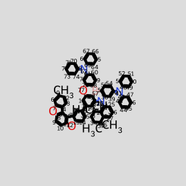 Cc1ccc2c(c1)oc1ccc3oc4ccc(-c5cc6c7c(c5)N(c5cccc8c5C(C)(C)CCC8(C)C)c5cc(N(c8ccccc8)c8ccccc8)ccc5B7c5ccc(N(c7ccccc7)c7ccccc7)cc5O6)cc4c3c12